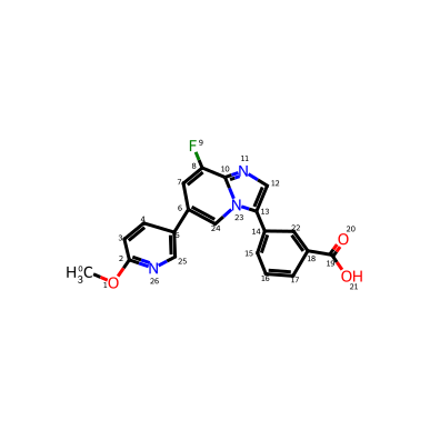 COc1ccc(-c2cc(F)c3ncc(-c4cccc(C(=O)O)c4)n3c2)cn1